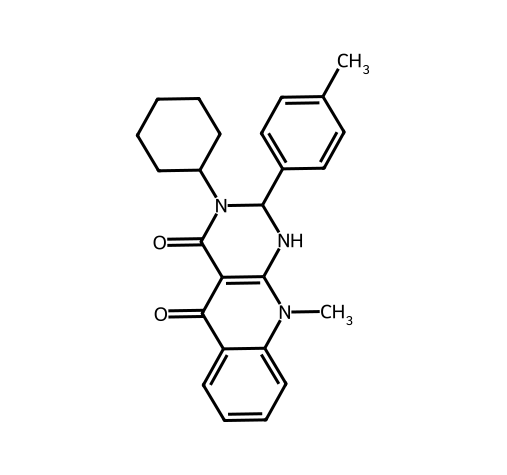 Cc1ccc(C2Nc3c(c(=O)c4ccccc4n3C)C(=O)N2C2CCCCC2)cc1